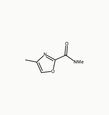 CNC(=O)c1nc(C)co1